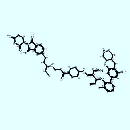 C=CC(=N\c1c(C)cccc1-c1cc(F)c(CC2CCOCC2)c(F)c1)/C(C=N)=C/NC1CCC(C(=O)CCOC(CC)CCc2ccc3c(c2)C(=O)N(C2CCC(=O)NC2=O)C3=O)CC1